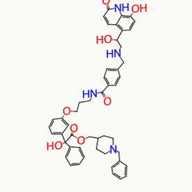 O=C(NCCCOc1cccc(C(O)(C(=O)OCC2CCN(Cc3ccccc3)CC2)c2ccccc2)c1)c1ccc(CNCC(O)c2ccc(O)c3[nH]c(=O)ccc23)cc1